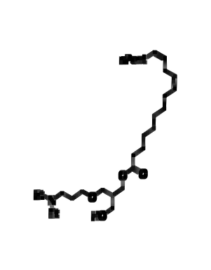 CCCCC/C=C\C/C=C\CCCCCCCC(=O)OCC(CO)COCCCN(CC)CC